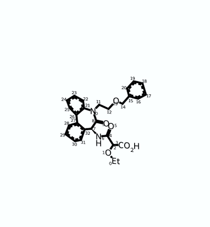 CCOC(C(=O)O)C(=O)N[C@@H]1C(=O)N(CCOCc2ccccc2)c2ccccc2-c2ccccc21